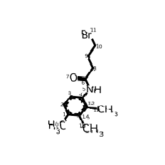 Cc1ccc(NC(=O)CCCBr)c(C)c1C